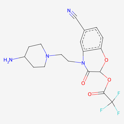 N#Cc1ccc2c(c1)N(CCN1CCC(N)CC1)C(=O)C(OC(=O)C(F)(F)F)O2